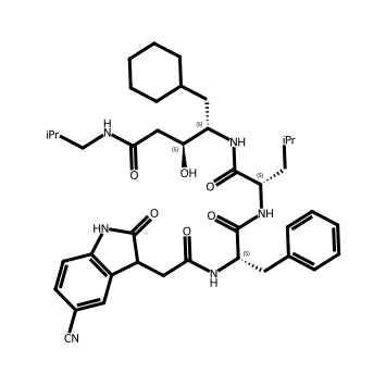 CC(C)CNC(=O)C[C@H](O)[C@H](CC1CCCCC1)NC(=O)[C@H](CC(C)C)NC(=O)[C@H](Cc1ccccc1)NC(=O)CC1C(=O)Nc2ccc(C#N)cc21